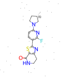 C[C@H]1CCN(c2ccc(-c3nc4c(s3)C(=O)NCC4)c(F)n2)C1